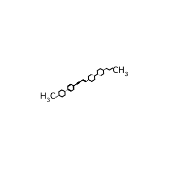 CCCC[C@H]1CC[C@H]([C@H]2CC[C@H](C=CC#Cc3ccc([C@H]4CC[C@H](CC)CC4)cc3)CC2)CC1